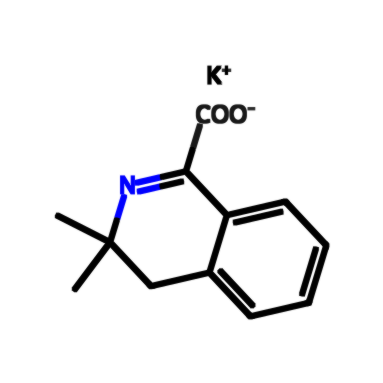 CC1(C)Cc2ccccc2C(C(=O)[O-])=N1.[K+]